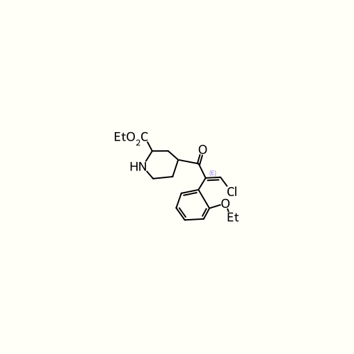 CCOC(=O)C1CC(C(=O)/C(=C/Cl)c2ccccc2OCC)CCN1